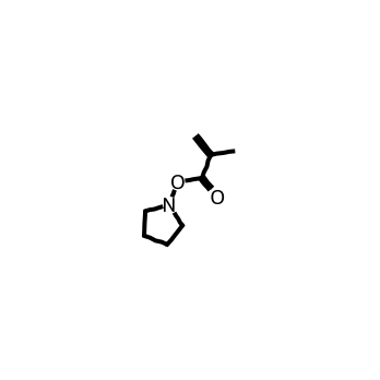 C=C(C)C(=O)ON1CCCC1